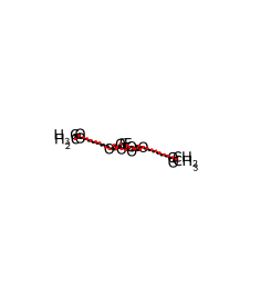 C=C(C)C(=O)OCCCCCCCCCCCCCOc1ccc(C(=O)Oc2ccc(OC(=O)c3ccc(OCCCCCCCCCCCCCOC(=O)C(=C)C)cc3)c(F)c2F)cc1